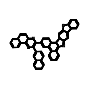 c1ccc2cc(-c3nc4c(ccc5ccccc54)nc3-c3ccc4c(c3)c3ccccc3c3nc5cc6c(cn5c43)oc3ccccc36)ccc2c1